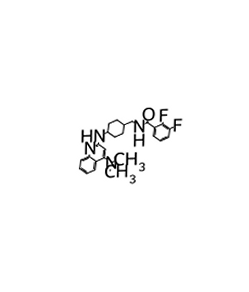 CN(C)c1cc(NC2CCC(CNC(=O)c3cccc(F)c3F)CC2)nc2ccccc12